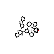 c1ccc(C2(c3ccccc3)c3ccccc3-c3cc(-c4nc5ccccc5nc4-c4ccc5c(c4)sc4ccccc45)ccc3C2(c2ccccc2)c2ccccc2)cc1